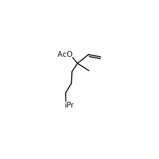 C=CC(C)(CCCC(C)C)OC(C)=O